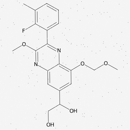 COCOc1cc(C(O)CO)cc2nc(OC)c(-c3cccc(C)c3F)nc12